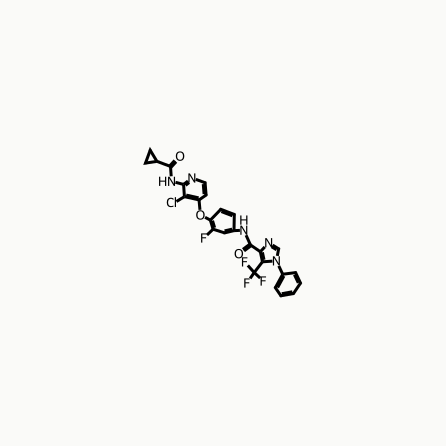 O=C(Nc1ccc(Oc2ccnc(NC(=O)C3CC3)c2Cl)c(F)c1)c1ncn(-c2ccccc2)c1C(F)(F)F